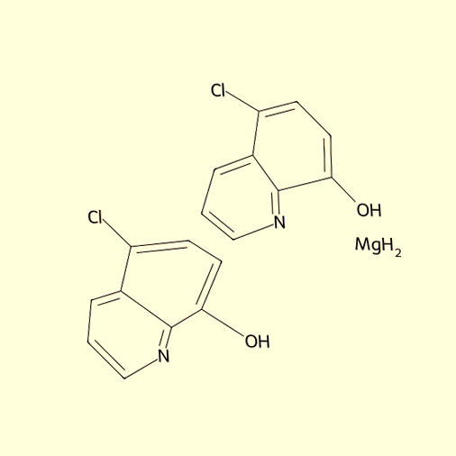 Oc1ccc(Cl)c2cccnc12.Oc1ccc(Cl)c2cccnc12.[MgH2]